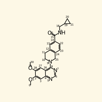 COc1cc2ncnc(N3CCc4cc(C(=O)NCC5CC5)ccc4C3)c2cc1OC